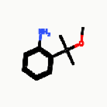 CO[Si](C)(C)c1ccccc1N